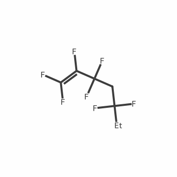 CCC(F)(F)CC(F)(F)C(F)=C(F)F